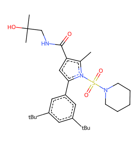 Cc1c(C(=O)NCC(C)(C)O)cc(-c2cc(C(C)(C)C)cc(C(C)(C)C)c2)n1S(=O)(=O)N1CCCCC1